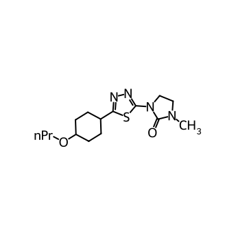 CCCOC1CCC(c2nnc(N3CCN(C)C3=O)s2)CC1